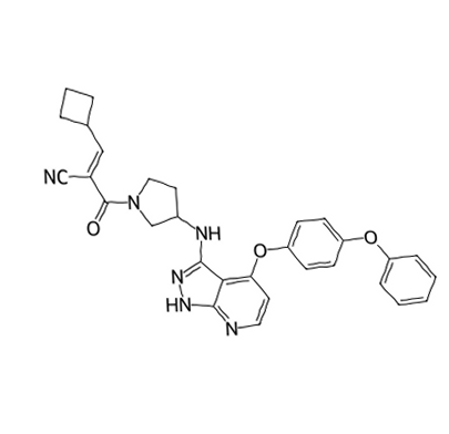 N#CC(=CC1CCC1)C(=O)N1CCC(Nc2n[nH]c3nccc(Oc4ccc(Oc5ccccc5)cc4)c23)C1